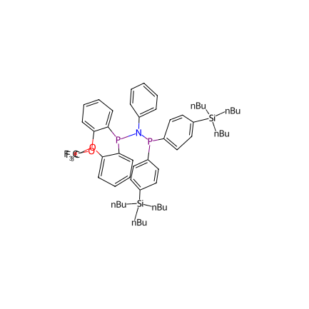 CCCC[Si](CCCC)(CCCC)c1ccc(P(c2ccc([Si](CCCC)(CCCC)CCCC)cc2)N(c2ccccc2)P(c2ccccc2OC(F)(F)F)c2ccccc2OC(F)(F)F)cc1